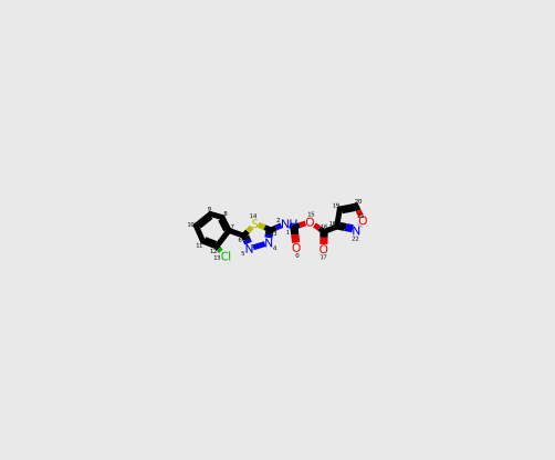 O=C(Nc1nnc(-c2ccccc2Cl)s1)OC(=O)c1ccon1